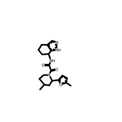 Cc1ccc(C2CC(C)CCN2C(=O)C(=O)NC2CCCc3cn[nH]c32)o1